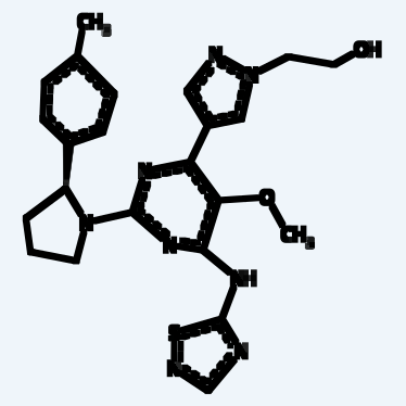 COc1c(Nc2ncns2)nc(N2CCC[C@H]2c2ccc(C)cc2)nc1-c1cnn(CCO)c1